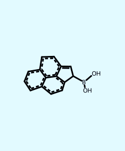 OB(O)C1C=c2ccc3cccc4ccc1c2c43